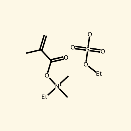 C=C(C)C(=O)O[N+](C)(C)CC.CCOS(=O)(=O)[O-]